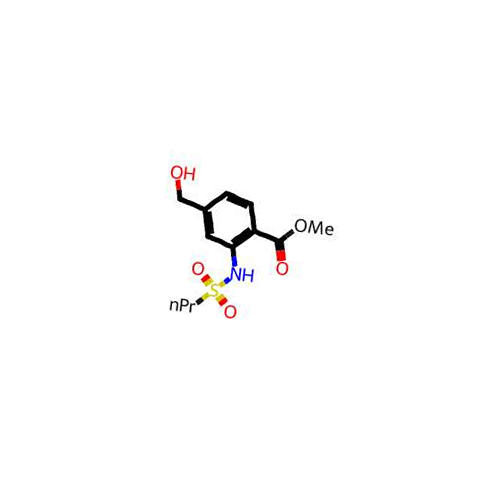 CCCS(=O)(=O)Nc1cc(CO)ccc1C(=O)OC